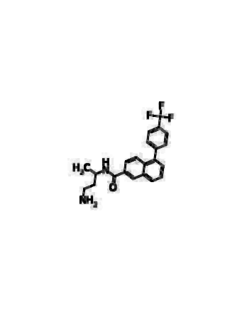 CC(CCN)NC(=O)c1ccc2c(-c3ccc(C(F)(F)F)cc3)cccc2c1